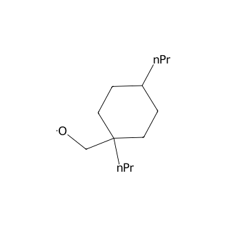 CCCC1CCC(C[O])(CCC)CC1